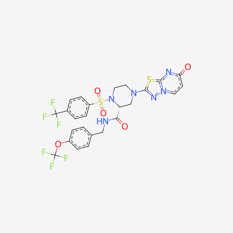 O=C(NCc1ccc(OC(F)(F)F)cc1)[C@H]1CN(c2nn3ccc(=O)nc3s2)CCN1S(=O)(=O)c1ccc(C(F)(F)F)cc1